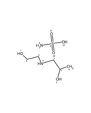 CC(O)CNCCO.NS(=O)(=O)O